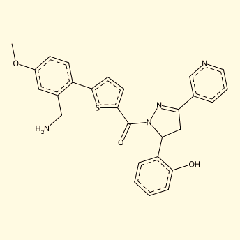 COc1ccc(-c2ccc(C(=O)N3N=C(c4cccnc4)CC3c3ccccc3O)s2)c(CN)c1